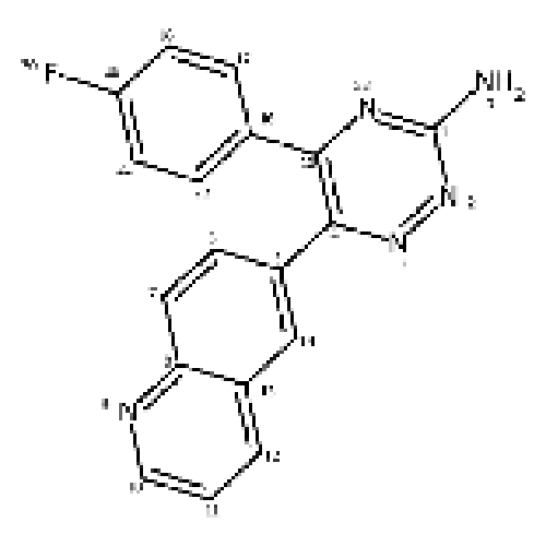 Nc1nnc(-c2ccc3ncccc3c2)c(-c2ccc(F)cc2)n1